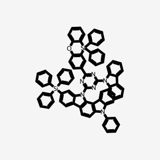 c1ccc(-n2c3ccccc3c3c2ccc2c4ccc([Si](c5ccccc5)(c5ccccc5)c5ccccc5)cc4n(-c4nc(-c5ccc6c(c5)[Si](c5ccccc5)(c5ccccc5)c5ccccc5O6)nc(-n5c6ccccc6c6ccccc65)n4)c23)cc1